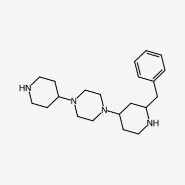 c1ccc(CC2CC(N3CCN(C4CCNCC4)CC3)CCN2)cc1